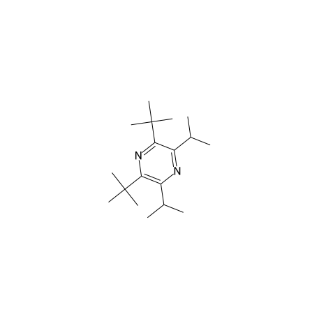 CC(C)c1nc(C(C)C)c(C(C)(C)C)nc1C(C)(C)C